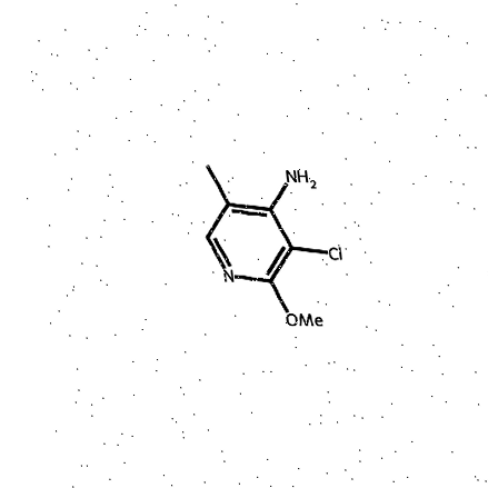 COc1ncc(C)c(N)c1Cl